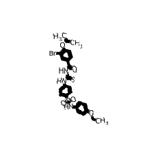 CCOc1ccc(NS(=O)(=O)c2ccc(NC(=S)NC(=O)c3ccc(OC(C)C)c(Br)c3)cc2)cc1